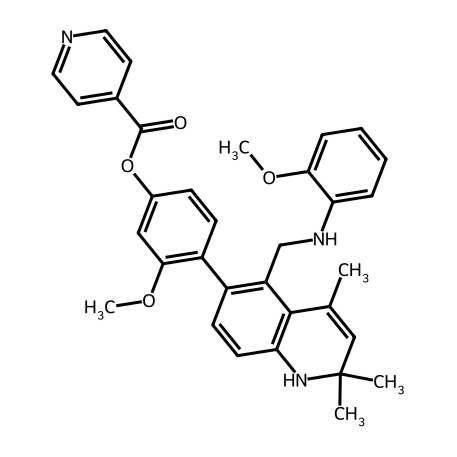 COc1ccccc1NCc1c(-c2ccc(OC(=O)c3ccncc3)cc2OC)ccc2c1C(C)=CC(C)(C)N2